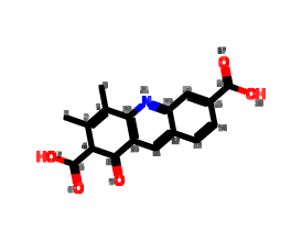 CC1=C(C)C(C(=O)O)C(=O)c2cc3ccc(C(=O)O)cc3nc21